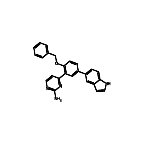 Nc1nccc(-c2cc(-c3ccc4[nH]ccc4c3)ccc2OCc2ccccc2)n1